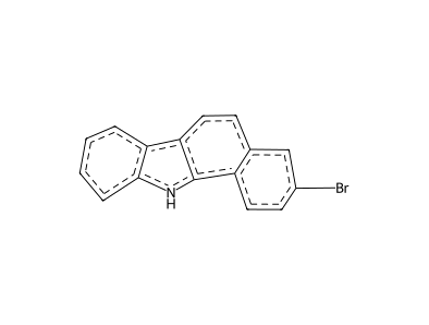 Brc1ccc2c(ccc3c4ccccc4[nH]c23)c1